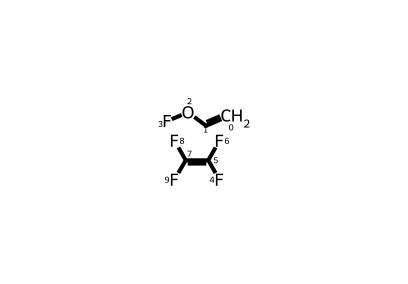 C=COF.FC(F)=C(F)F